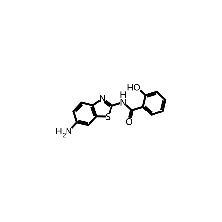 Nc1ccc2nc(NC(=O)c3ccccc3O)sc2c1